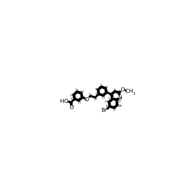 COc1cc(-c2cccc(CCOc3cccc(C(=O)O)c3)c2)c2cc(Br)ccc2n1